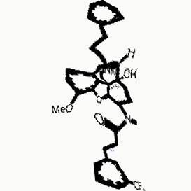 COc1ccc2c3c1OC1C(N(C)C(=O)/C=C/c4cccc(C(F)(F)F)c4)CC[C@@]4(O)[C@@H](C2)N(CCc2ccccc2)CC[C@]314